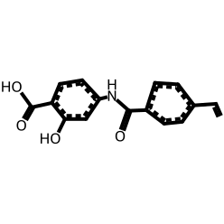 C=Cc1ccc(C(=O)Nc2ccc(C(=O)O)c(O)c2)cc1